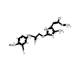 C=N/C(Cl)=C\c1[nH]c(SCC(=O)Nc2ccc(OC)c(F)c2)nc1C